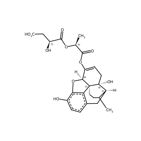 CC1CC[C@]23c4c5ccc(O)c4O[C@H]2C(OC(=O)[C@H](C)OC(=O)[C@@H](O)CC(=O)O)=CC[C@@]3(O)[C@H]1C5